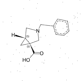 O=C(O)[C@@]12C[C@@H]1CN(Cc1ccccc1)C2